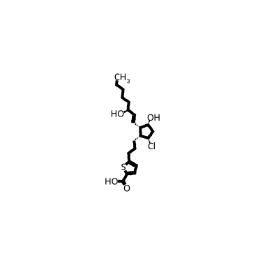 CCCCC[C@H](O)C=C[C@H]1[C@@H](CCCc2ccc(C(=O)O)s2)[C@@H](Cl)C[C@H]1O